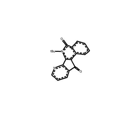 CC(C)(C)n1c2c(c3ccccc3c1=O)C(=O)c1cccnc1-2